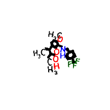 CCC(C(=O)O)C(CC)c1ccc(OC)c(CNCc2ccc(C(F)(F)F)cc2)c1